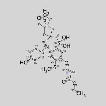 CCCCC1(CCCC)CN(c2ccc(O)cc2)c2cc(SC)c(O/C=C/C(=O)OCC)cc2S(O)(O)C1